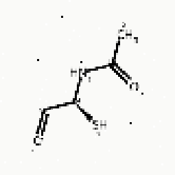 CC(=O)N[C@@H](S)[C]=O